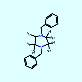 [2H]C1N(Cc2ccccc2)C([2H])([2H])C([2H])([2H])N(Cc2ccccc2)C1([2H])[2H]